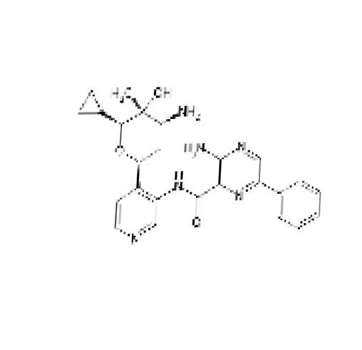 C[C@@]1(O)[C@@H](N)C[C@@H](c2ccncc2NC(=O)c2nc(-c3ccccc3)cnc2N)O[C@H]1C1CC1